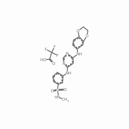 CNS(=O)(=O)c1cccc(Nc2cc(Nc3ccc4c(c3)OCCO4)ncn2)c1.O=C(O)C(F)(F)F